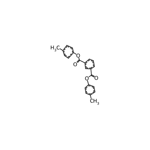 Cc1ccc(OC(=O)c2cccc(C(=O)Oc3ccc(C)cc3)c2)cc1